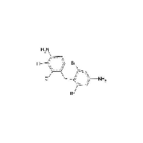 Nc1cc(Br)c(Cc2ccc(N)c(Cl)c2Cl)c(Br)c1